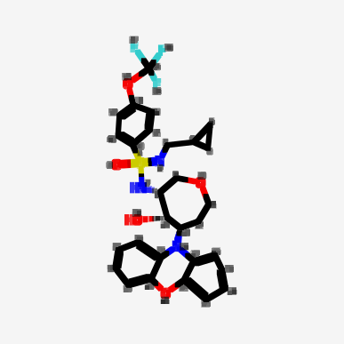 O=S(=NCC1CC1)(N[C@@H]1COCC[C@@H](N2c3ccccc3Oc3ccccc32)[C@@H]1O)c1ccc(OC(F)(F)F)cc1